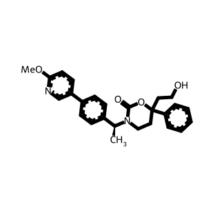 COc1ccc(-c2ccc([C@H](C)N3CCC(CCO)(c4ccccc4)OC3=O)cc2)cn1